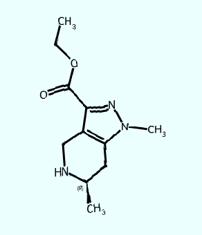 CCOC(=O)c1nn(C)c2c1CN[C@H](C)C2